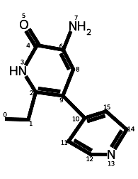 CCc1[nH]c(=O)c(N)cc1-c1ccncc1